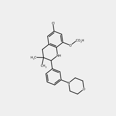 CC1(C)Cc2cc(Cl)cc(OC(=O)O)c2NC1c1cccc(N2CCOCC2)c1